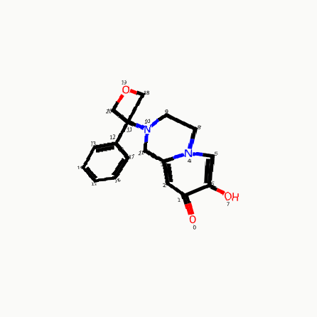 O=c1cc2n(cc1O)CCN(C1(c3ccccc3)COC1)C2